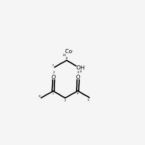 CC(=O)CC(C)=O.CCO.[Co]